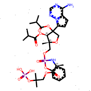 CC(C)C(=O)O[C@H]1C(OC(=O)C(C)C)(c2ccc3c(N)ncnn23)CO[C@]1(C)COP(=O)(N[C@@H](C)C(=O)OCC(C)(C)OP(=O)(O)O)Oc1ccccc1